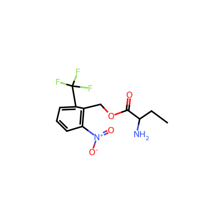 CCC(N)C(=O)OCc1c([N+](=O)[O-])cccc1C(F)(F)F